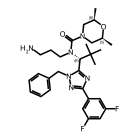 C[C@@H]1CN(C(=O)N(CCCN)[C@@H](c2nc(-c3cc(F)cc(F)c3)nn2Cc2ccccc2)C(C)(C)C)C[C@H](C)O1